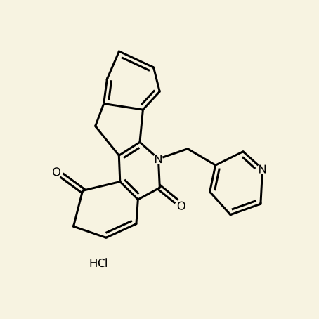 Cl.O=C1CC=Cc2c1c1c(n(Cc3cccnc3)c2=O)-c2ccccc2C1